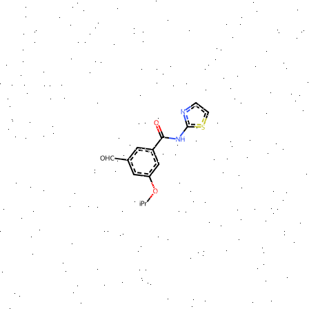 CC(C)Oc1cc(C=O)cc(C(=O)Nc2nccs2)c1